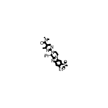 CCc1cc2nc3n(c2cc1S(C)(=O)=O)CCN(c1ncc(C(=O)N(C)C)c(C)n1)[C@H]3C(C)C